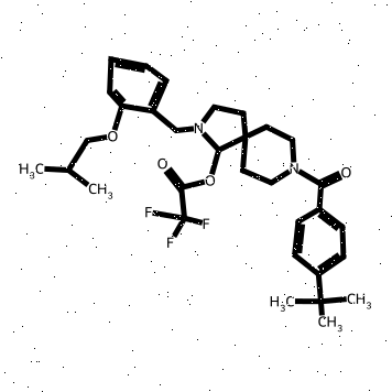 CC(C)COc1ccccc1CN1CCC2(CCN(C(=O)c3ccc(C(C)(C)C)cc3)CC2)C1OC(=O)C(F)(F)F